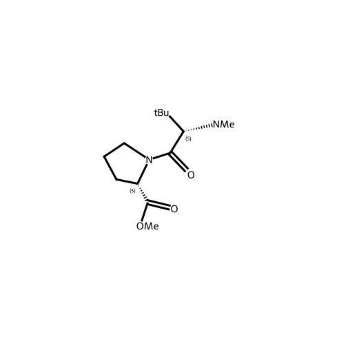 CN[C@H](C(=O)N1CCC[C@H]1C(=O)OC)C(C)(C)C